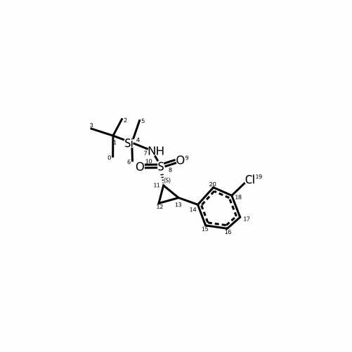 CC(C)(C)[Si](C)(C)NS(=O)(=O)[C@H]1CC1c1cccc(Cl)c1